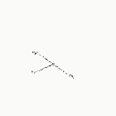 CCCCCCCCCCCCCCCCCCOP(CCCCCCCCCCCCCCCCCC)CCCCCCCCCCCCCCCCCC